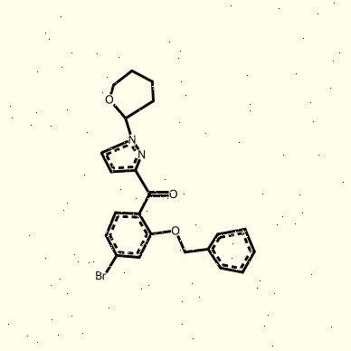 O=C(c1ccn(C2CCCCO2)n1)c1ccc(Br)cc1OCc1ccccc1